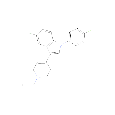 CC(C)CN1CC=C(c2cn(-c3ccc(F)cc3)c3ccc(Cl)cc23)CC1